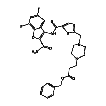 NC(=O)c1oc2c(F)cc(F)cc2c1NC(=O)c1ccc(CN2CCN(CCC(=O)OCc3ccccc3)CC2)o1